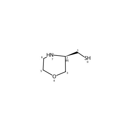 SC[C@H]1COCCN1